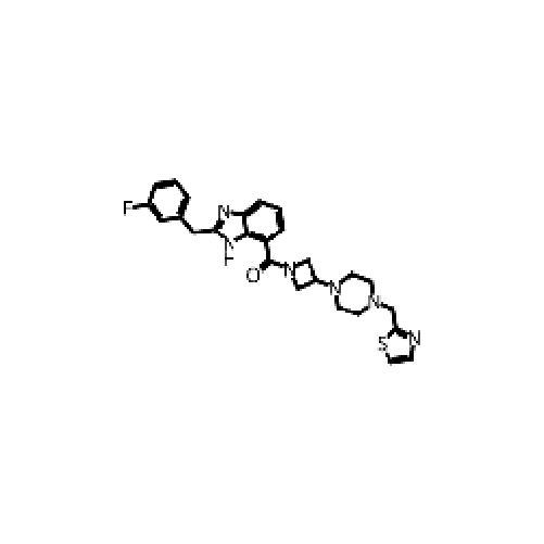 O=C(c1cccc2nc(Cc3cccc(F)c3)[nH]c12)N1CC(N2CCN(Cc3nccs3)CC2)C1